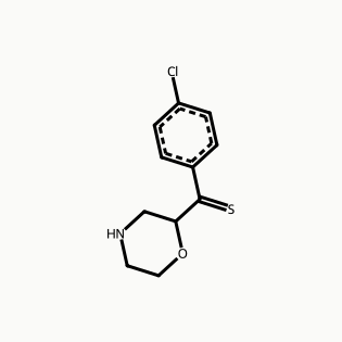 S=C(c1ccc(Cl)cc1)C1CNCCO1